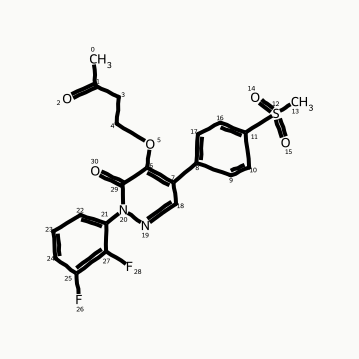 CC(=O)CCOc1c(-c2ccc(S(C)(=O)=O)cc2)cnn(-c2cccc(F)c2F)c1=O